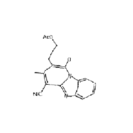 CC(=O)OCCc1c(C)c(C#N)c2nc3ccccc3n2c1Cl